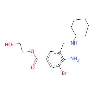 Nc1c(Br)cc(C(=O)OCCO)cc1CNC1CCCCC1